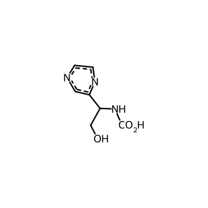 O=C(O)NC(CO)c1cnccn1